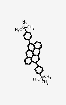 C[Si](C)(C)c1ccc(-c2cc3cc4cccc5c(-c6ccc([Si](C)(C)C)cc6)cc6cc7cccc2c7c3c6c45)cc1